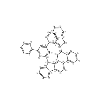 c1ccc(-c2nc(-c3cccnc3)nc(-n3c4ccccc4c4ccc5c(c43)CC(c3nc4ccccc4s3)c3ccccc3-5)n2)nc1